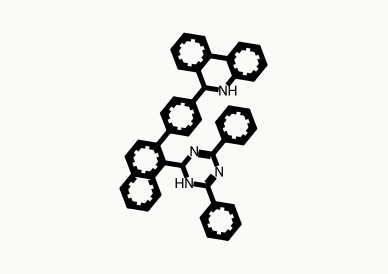 c1ccc(C2=NC(c3c(-c4ccc(C5Nc6ccccc6-c6ccccc65)cc4)ccc4ccccc34)NC(c3ccccc3)=N2)cc1